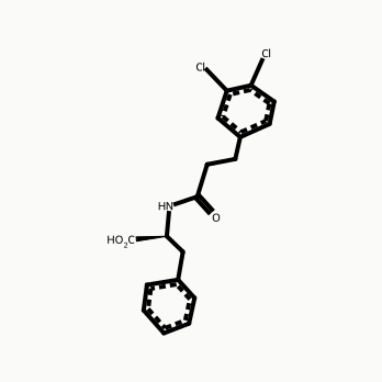 O=C(CCc1ccc(Cl)c(Cl)c1)N[C@@H](Cc1ccccc1)C(=O)O